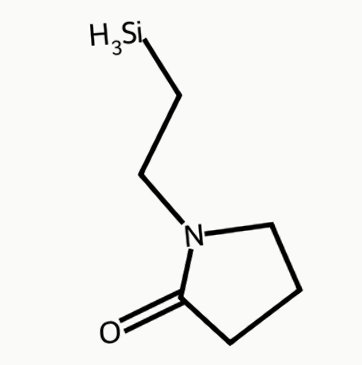 O=C1CCCN1CC[SiH3]